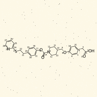 O=C(O)Cc1ccc(OCC2CCN(C(=O)Oc3ccc(CCSc4ccccn4)cc3)CC2)cc1